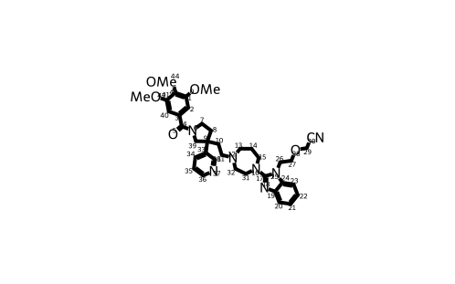 COc1cc(C(=O)N2CCC(CCN3CCCN(c4nc5ccccc5n4CCOCC#N)CC3)(c3cccnc3)C2)cc(OC)c1OC